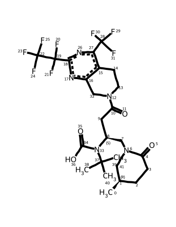 C[C@@H]1CCC(=O)N(C[C@H](CC(=O)N2CCc3c(nc(C(F)(F)C(F)(F)F)nc3C(F)(F)F)C2)N(C(=O)O)C(C)(C)C)C1